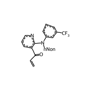 C=CC(=O)c1cccnc1N(CCCCCCCCC)c1cccc(C(F)(F)F)c1